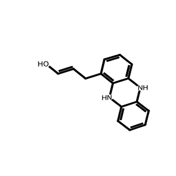 OC=CCc1cccc2c1Nc1ccccc1N2